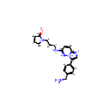 NCc1ccc(-c2cnc3ccc(NCCCN4CCCC4=O)nn23)cc1